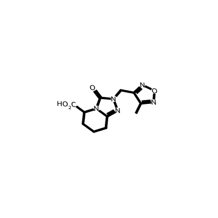 Cc1nonc1Cn1nc2n(c1=O)C(C(=O)O)CCC2